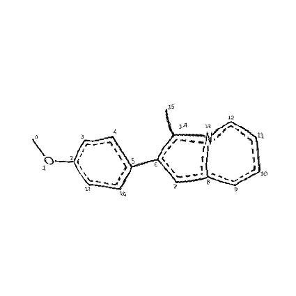 COc1ccc(-c2cc3ccccn3c2C)cc1